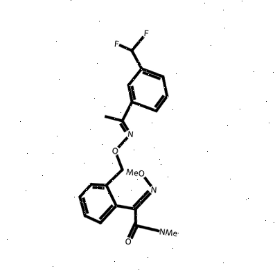 CNC(=O)/C(=N/OC)c1ccccc1CO/N=C(\C)c1cccc(C(F)F)c1